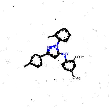 COc1ccc(Nc2cc(-c3ccc(C)cc3)nn2-c2ccccc2C)c(C(=O)O)c1